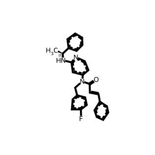 C[C@H](Nc1cc(N(Cc2ccc(F)cc2)C(=O)C=Cc2ccccc2)ccn1)c1ccccc1